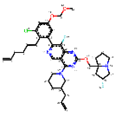 C=CCCCCc1c(Cl)cc(OCOC)cc1-c1ncc2c(N3CCCC(CC=C)C3)nc(OC[C@@]34CCCN3C[C@H](F)C4)nc2c1F